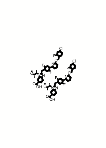 CO[C@H](C)[C@@H](C)n1c(Cc2cc(F)c(-c3cccc(OCc4ccc(Cl)cc4F)n3)cc2F)nc2ccc(C(=O)O)cc21.CO[C@H](C)[C@@H](C)n1c(Cc2cc(F)c(-c3cccc(OCc4ccc(Cl)cc4F)n3)cc2F)nc2ccc(C(=O)O)cc21